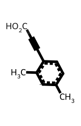 Cc1[c]c(C)c(C#CC(=O)O)cc1